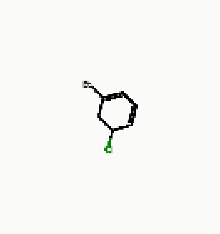 CCC1=CC=CC(Cl)C1